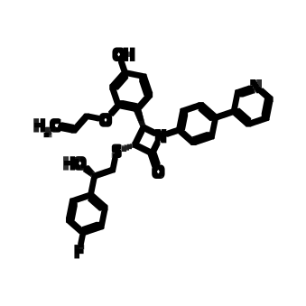 C=CCOc1cc(O)ccc1[C@@H]1[C@@H](SC[C@H](O)c2ccc(F)cc2)C(=O)N1c1ccc(-c2cccnc2)cc1